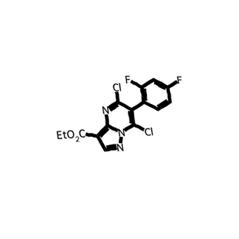 CCOC(=O)c1cnn2c(Cl)c(-c3ccc(F)cc3F)c(Cl)nc12